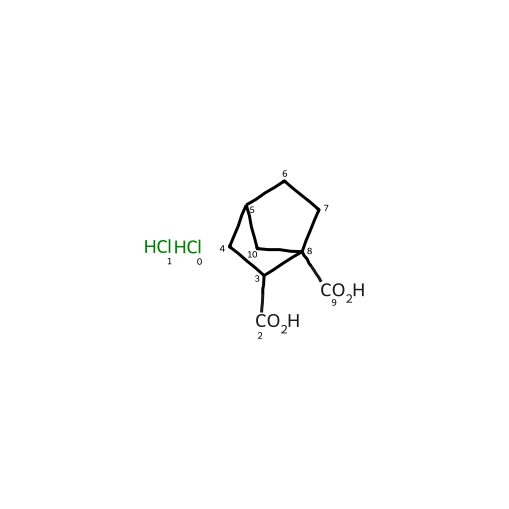 Cl.Cl.O=C(O)C1CC2CCC1(C(=O)O)C2